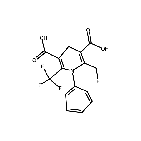 O=C(O)C1=C(CF)N(c2ccccc2)C(C(F)(F)F)=C(C(=O)O)C1